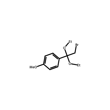 CCOC(CBr)(OCC)c1ccc(OC)cc1